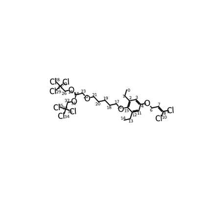 CCc1cc(OCC=C(Cl)Cl)cc(CC)c1OCCCCCOCC(OCC(Cl)(Cl)Cl)OCC(Cl)(Cl)Cl